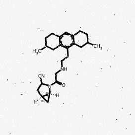 CC1CCc2cc3c(c(CCNCC(=O)N4C(C#N)C[C@@H]5C[C@@H]54)c2C1)CC(C)CC3